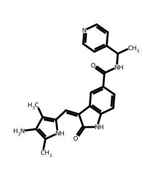 Cc1[nH]c(C=C2C(=O)Nc3ccc(C(=O)NC(C)c4ccncc4)cc32)c(C)c1N